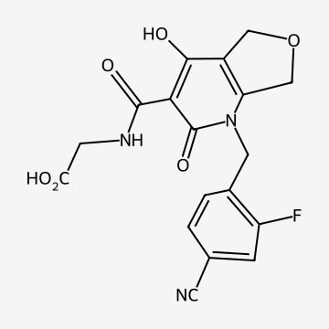 N#Cc1ccc(Cn2c3c(c(O)c(C(=O)NCC(=O)O)c2=O)COC3)c(F)c1